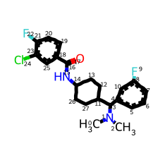 CN(C)C(c1cccc(F)c1)C1CCC(NC(=O)c2ccc(F)c(Cl)c2)CC1